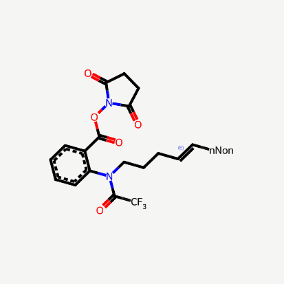 CCCCCCCCC/C=C/CCCN(C(=O)C(F)(F)F)c1ccccc1C(=O)ON1C(=O)CCC1=O